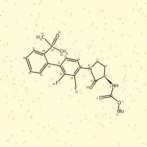 CC(C)(C)OC(=O)N[C@@H]1CCN(c2ccc(-c3ccccc3P(C)(C)=O)c(F)c2F)C1=O